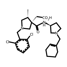 C[C@H]1CN(Cc2c(Cl)cccc2Cl)C[C@]1(CC(=O)O)C(=O)N[C@H]1CCN(CC2=CCCCC2)C1